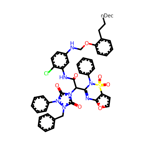 CCCCCCCCCCCCc1ccccc1OCNc1ccc(Cl)c(NC(=O)C(C2=Nc3occc3S(=O)(=O)N2c2ccccc2)n2c(=O)n(Cc3ccccc3)n(-c3ccccc3)c2=O)c1